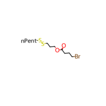 CCCCCSSCCCOC(=O)CCCBr